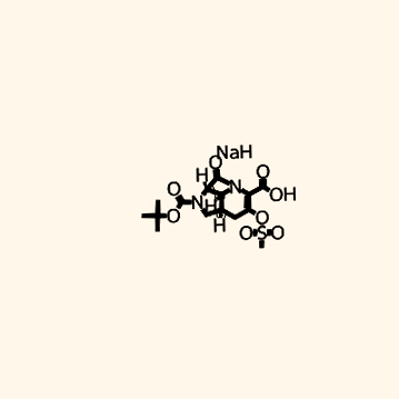 CC(C)(C)OC(=O)N1C[C@H]2CC(OS(C)(=O)=O)=C(C(=O)O)N3C(=O)[C@@H]1[C@@H]23.[NaH]